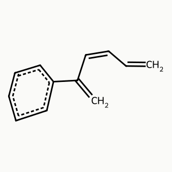 C=C/C=C\C(=C)c1ccccc1